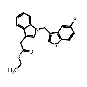 CCOC(=O)Cc1cn(Cc2csc3ccc(Br)cc23)c2ccccc12